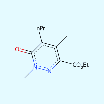 CCCc1c(C)c(C(=O)OCC)nn(C)c1=O